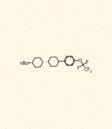 CCCC[C@H]1CC[C@H](C2CCC(c3ccc(OC(F)(F)C(F)(F)F)cc3)CC2)CC1